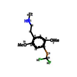 CCNCCc1cc(OC)c(SC(F)F)cc1OC